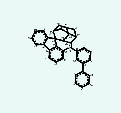 c1ccc(-c2cccc(Nc3cccc4c3C3(c5ccccc5-4)C4CC5CC(C4)CC3C5)c2)cc1